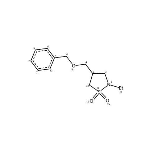 CCN1CC(COCc2ccccc2)CS1(=O)=O